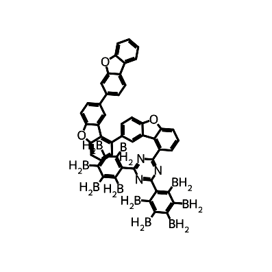 Bc1c(B)c(B)c(-c2nc(-c3c(B)c(B)c(B)c(B)c3B)nc(-c3cccc4oc5ccc(-c6cccc7oc8ccc(-c9ccc%10c(c9)oc9ccccc9%10)cc8c67)cc5c34)n2)c(B)c1B